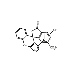 O=C(O)c1ccc2c(c1)C1(CC2=O)c2ccccc2Oc2cccc(N3CC(O)C3)c21